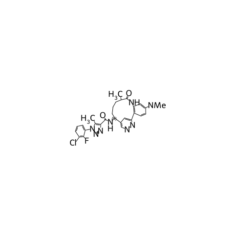 CNc1ccc2c(c1)NC(=O)C(C)CCC[C@@H](NC(=O)c1nnn(-c3cccc(Cl)c3F)c1C)c1cnnc-2c1